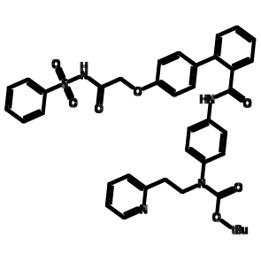 CC(C)(C)OC(=O)N(CCc1ccccn1)c1ccc(NC(=O)c2ccccc2-c2ccc(OCC(=O)NS(=O)(=O)c3ccccc3)cc2)cc1